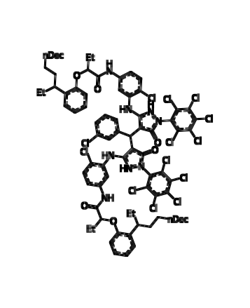 CCCCCCCCCCCCC(CC)c1ccccc1OC(CC)C(=O)Nc1ccc(Cl)c(Nc2[nH]n(-c3c(Cl)c(Cl)c(Cl)c(Cl)c3Cl)c(=O)c2C(c2cccc(Cl)c2)c2c(Nc3cc(NC(=O)C(CC)Oc4ccccc4C(CC)CCCCCCCCCCCC)ccc3Cl)[nH]n(-c3c(Cl)c(Cl)c(Cl)c(Cl)c3Cl)c2=O)c1